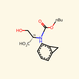 CCCCOC(=O)N[C@@H](CO)C(=O)O.c1ccc2c(c1)C2